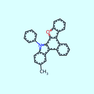 Cc1ccc2c(c1)c1c3ccccc3c3c4ccccc4oc3c1n2-c1ccccc1